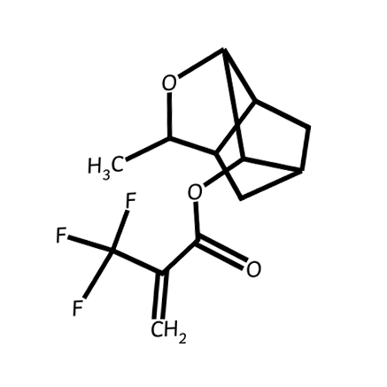 C=C(C(=O)OC1C2CC3C(C)OC1C3C2)C(F)(F)F